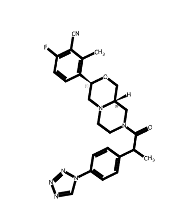 Cc1c([C@@H]2CN3CCN(C(=O)C(C)c4ccc(-n5cnnn5)cc4)C[C@H]3CO2)ccc(F)c1C#N